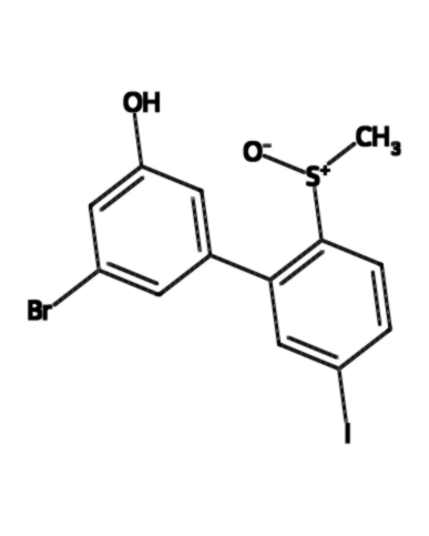 C[S+]([O-])c1ccc(I)cc1-c1cc(O)cc(Br)c1